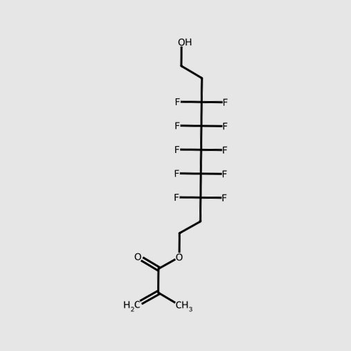 C=C(C)C(=O)OCCC(F)(F)C(F)(F)C(F)(F)C(F)(F)C(F)(F)CCO